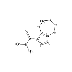 CN(C)C(=O)c1cnn2c1CNCCC2